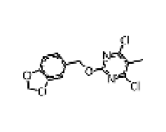 Cc1c(Cl)nc(OCc2ccc3c(c2)OCO3)nc1Cl